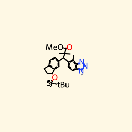 COC(=O)C(C)(C)C(c1ccc2c(c1)C(O[Si](C)(C)C(C)(C)C)CC2)c1ccc2c(nnn2C)c1C